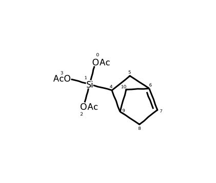 CC(=O)O[Si](OC(C)=O)(OC(C)=O)C1CC2=CCC1C2